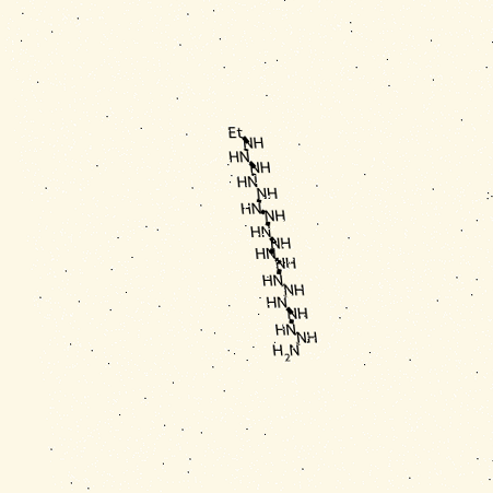 CCNNNNNNNNNNNNNNNNNN